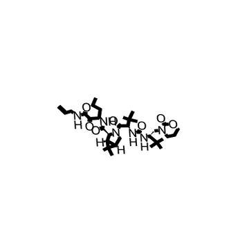 C=CCNC(=O)C(=O)C(CCC)NC(=O)[C@@H]1[C@@H]2[C@H](CN1C(=O)[C@@H](NC(=O)N[C@H](CN1CCCOC1=O)C(C)(C)C)C(C)(C)C)C2(C)C